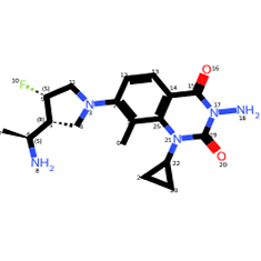 Cc1c(N2C[C@H]([C@H](C)N)[C@H](F)C2)ccc2c(=O)n(N)c(=O)n(C3CC3)c12